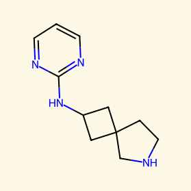 c1cnc(NC2CC3(CCNC3)C2)nc1